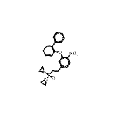 O=[N+]([O-])c1ccc(CCP(=O)(N2CC2)N2CC2)cc1OC1=C(c2ccccc2)CCC=C1